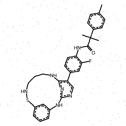 Cc1ccc(C(C)(C)C(=O)Nc2ccc(-c3cnc4nc3NCCCNSc3cccc(c3)N4)cc2F)cc1